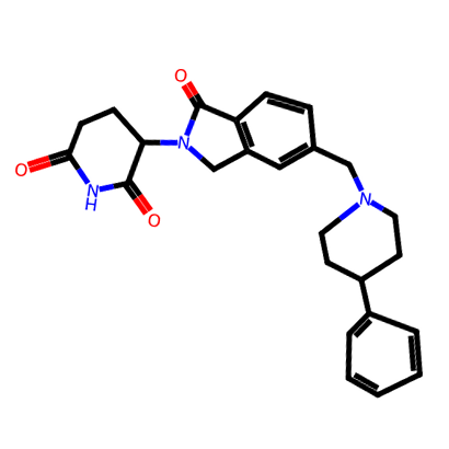 O=C1CCC(N2Cc3cc(CN4CCC(c5ccccc5)CC4)ccc3C2=O)C(=O)N1